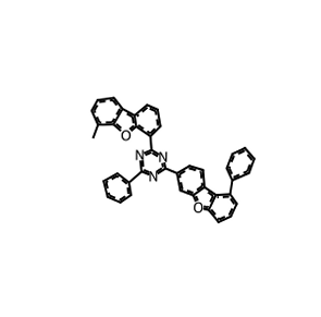 Cc1cccc2c1oc1c(-c3nc(-c4ccccc4)nc(-c4ccc5c(c4)oc4cccc(-c6ccccc6)c45)n3)cccc12